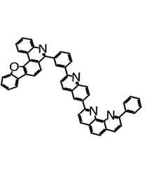 c1ccc(-c2ccc3ccc4ccc(-c5ccc6nc(-c7cccc(-c8nc9ccccc9c9c8ccc8c%10ccccc%10oc89)c7)ccc6c5)nc4c3n2)cc1